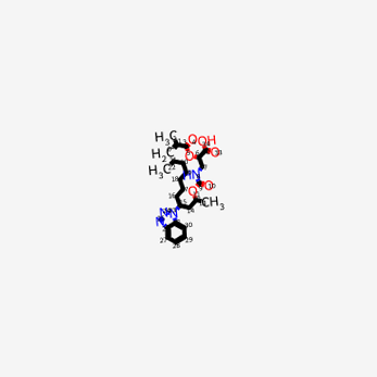 C=C(C)C(=O)OC(CNC(=O)OC(C)CC(CCCCCCC)n1nnc2ccccc21)C(=O)O